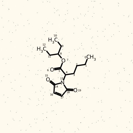 CCCCC(C(=O)OC(CC)CC)N1C(=O)C=CC1=O